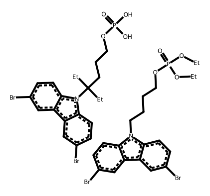 CCC(CC)(CCCOP(=O)(O)O)n1c2ccc(Br)cc2c2cc(Br)ccc21.CCOP(=O)(OCC)OCCCCn1c2ccc(Br)cc2c2cc(Br)ccc21